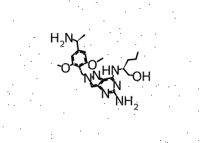 CCC[C@@H](CO)Nc1nc(N)nc2cn(Cc3c(OC)cc([C@H](C)N)cc3OC)nc12